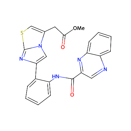 COC(=O)Cc1csc2nc(-c3ccccc3NC(=O)c3cnc4ccccc4n3)cn12